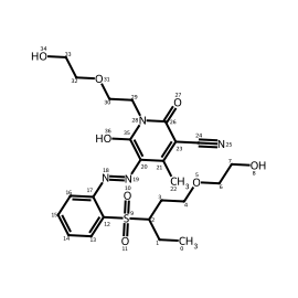 CCC(CCOCCO)S(=O)(=O)c1ccccc1/N=N/c1c(C)c(C#N)c(=O)n(CCOCCO)c1O